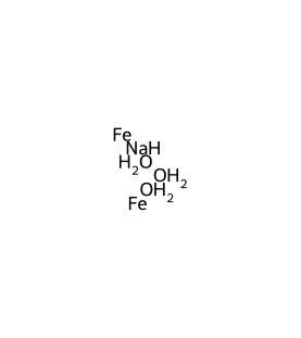 O.O.O.[Fe].[Fe].[NaH]